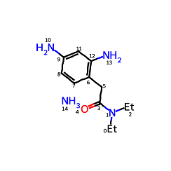 CCN(CC)C(=O)Cc1ccc(N)cc1N.N